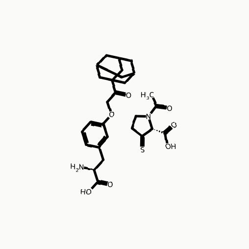 CC(=O)N1CCC(=S)[C@H]1C(=O)O.N[C@@H](Cc1cccc(OCC(=O)C23CC4CC(CC(C4)C2)C3)c1)C(=O)O